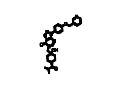 CN(C)C(=O)N1CCC(O)(Cn2cnc3c(cnn3-c3ccc(OCc4cccnc4)cc3)c2=O)CC1